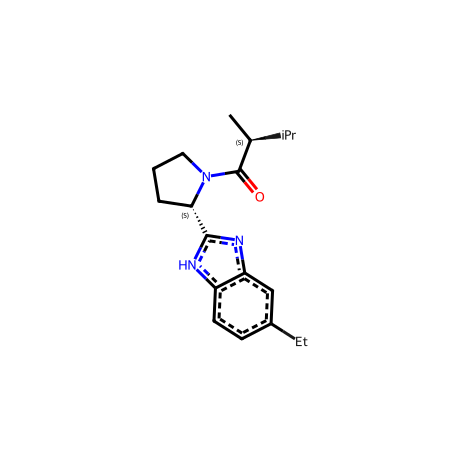 CCc1ccc2[nH]c([C@@H]3CCCN3C(=O)[C@@H](C)C(C)C)nc2c1